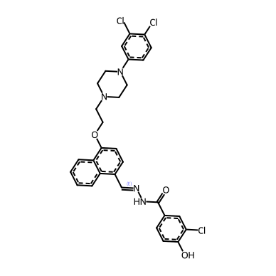 O=C(N/N=C/c1ccc(OCCN2CCN(c3ccc(Cl)c(Cl)c3)CC2)c2ccccc12)c1ccc(O)c(Cl)c1